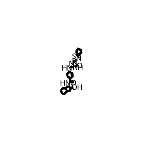 O=C(N[C@@H]1c2ccccc2C[C@@H]1O)c1ccc(Nc2nn(-c3nc4ccccc4s3)c(=O)[nH]2)cc1